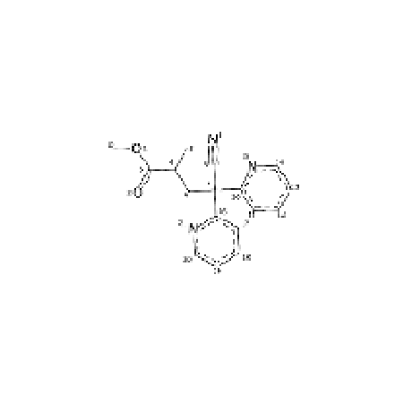 COC(=O)C(C)CC(C#N)(c1ccccn1)c1ccccn1